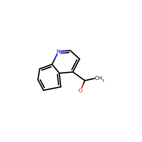 CC([O])c1ccnc2ccccc12